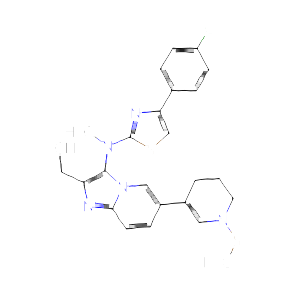 CCc1nc2ccc(C3=CN(SC)CCC3)cn2c1N(C)c1nc(-c2ccc(Cl)cc2)cs1